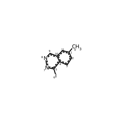 Cc1ccc2c(I)nncc2c1